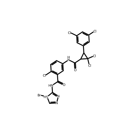 O=C(NC1=NN=C[SH]1Br)c1cc(NC(=O)C2C(c3cc(Cl)cc(Cl)c3)C2(Cl)Cl)ccc1Cl